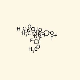 COC(=O)C(C)(C)c1cn(-c2c(F)cc(OC)cc2F)c(NC(=O)c2ccc(OC(F)F)cc2)n1